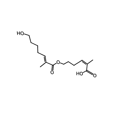 CC(=CCCCOC(=O)C(C)=CCCCCO)C(=O)O